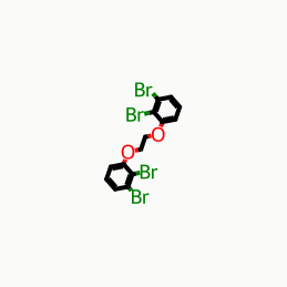 Brc1cccc(OCCOc2cccc(Br)c2Br)c1Br